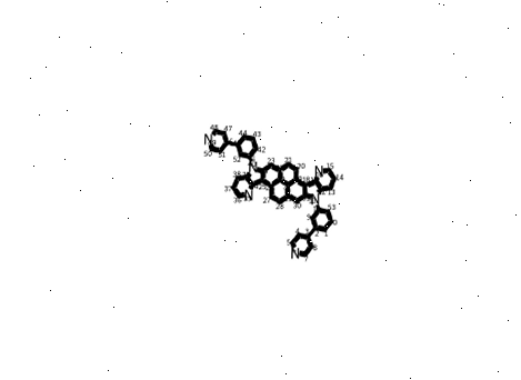 c1cc(-c2ccncc2)cc(-n2c3cccnc3c3c4ccc5cc6c(c7ccc(cc32)c4c57)c2ncccc2n6-c2cccc(-c3ccncc3)c2)c1